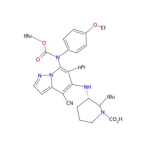 CCCc1c(N[C@H]2CCCN(C(=O)O)C2C(C)(C)C)c(C#N)c2ccnn2c1N(C(=O)OC(C)(C)C)c1ccc(OCC)cc1